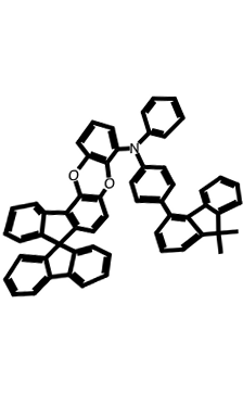 CC1(C)c2ccccc2-c2c(-c3ccc(N(c4ccccc4)c4cccc5c4Oc4ccc6c(c4O5)-c4ccccc4C64c5ccccc5-c5ccccc54)cc3)cccc21